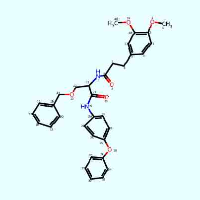 COc1ccc(CCC(=O)NC(COCc2ccccc2)C(=O)Nc2ccc(Oc3ccccc3)cc2)cc1OC